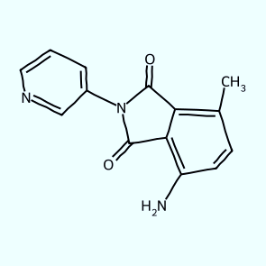 Cc1ccc(N)c2c1C(=O)N(c1cccnc1)C2=O